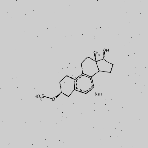 C[C@]12CCc3c(ccc4c3CC[C@H](OS(=O)(=O)O)C4)C1CC[C@@H]2O.[NaH]